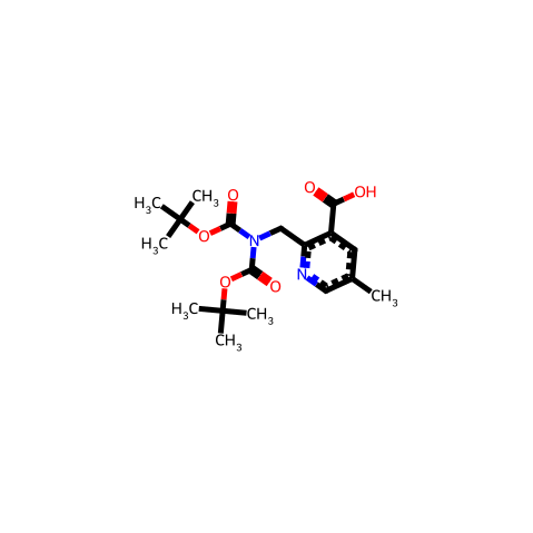 Cc1cnc(CN(C(=O)OC(C)(C)C)C(=O)OC(C)(C)C)c(C(=O)O)c1